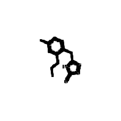 CCCc1cc(C)ccc1Cc1noc(=O)[nH]1